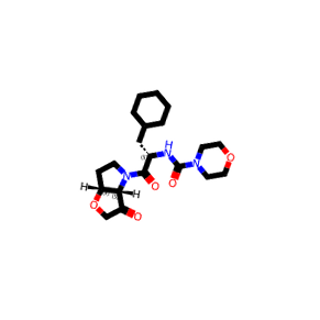 O=C1CO[C@@H]2CCN(C(=O)[C@H](CC3CCCCC3)NC(=O)N3CCOCC3)[C@H]12